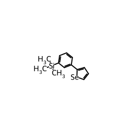 C[Si](C)(C)c1cccc(-c2ccc[se]2)c1